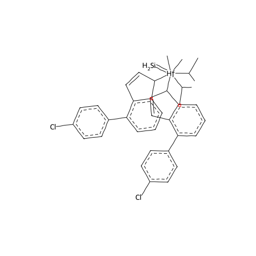 C[CH](C)[Hf]([CH3])([CH3])(=[SiH2])([CH](C)C)([CH]1C=Cc2c(-c3ccc(Cl)cc3)cccc21)[CH]1C=Cc2c(-c3ccc(Cl)cc3)cccc21